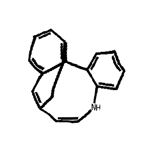 c1cc2c3c(c1)cc(cc[nH]c1ccccc13)C2